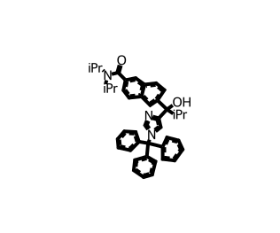 CC(C)N(C(=O)c1ccc2cc(C(O)(c3cn(C(c4ccccc4)(c4ccccc4)c4ccccc4)cn3)C(C)C)ccc2c1)C(C)C